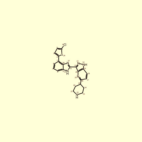 Clc1ccc(-c2cccc3[nH]c(-c4n[nH]c5ccc(C6CCNCC6)nc45)nc23)s1